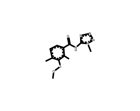 COSc1c(C)ccc(C(=O)Nc2nnnn2C)c1C